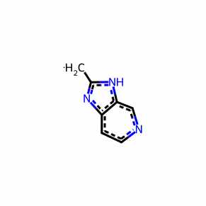 [CH2]c1nc2ccncc2[nH]1